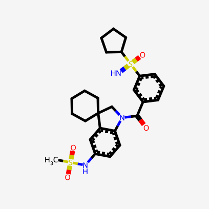 CS(=O)(=O)Nc1ccc2c(c1)C1(CCCCC1)CN2C(=O)c1cccc(S(=N)(=O)C2CCCC2)c1